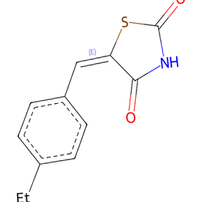 CCc1ccc(/C=C2/SC(=O)NC2=O)cc1